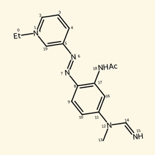 CC[n+]1cccc(N=Nc2ccc(N(C)C=N)cc2NC(C)=O)c1